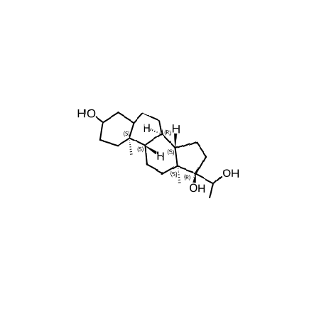 CC(O)[C@@]1(O)CC[C@H]2[C@@H]3CCC4CC(O)CC[C@]4(C)[C@H]3CC[C@@]21C